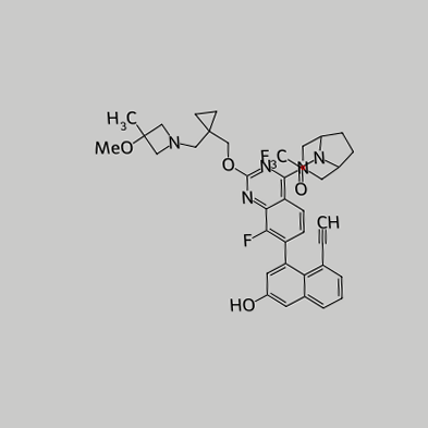 C#Cc1cccc2cc(O)cc(-c3ccc4c(N5CC6CCC(C5)N6C(=O)C(F)(F)F)nc(OCC5(CN6CC(C)(OC)C6)CC5)nc4c3F)c12